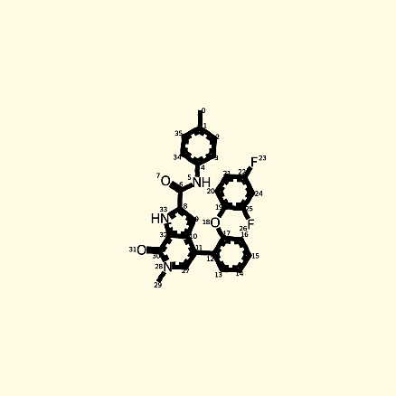 Cc1ccc(NC(=O)c2cc3c(-c4ccccc4Oc4ccc(F)cc4F)cn(C)c(=O)c3[nH]2)cc1